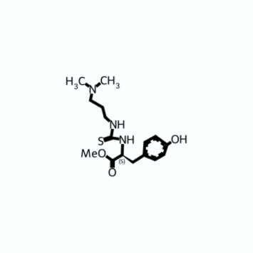 COC(=O)[C@H](Cc1ccc(O)cc1)NC(=S)NCCCN(C)C